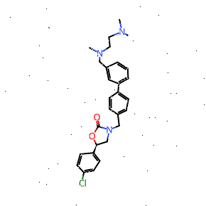 CN(C)CCN(C)Cc1cccc(-c2ccc(CN3C[C@@H](c4ccc(Cl)cc4)OC3=O)cc2)c1